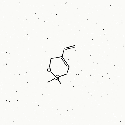 C=CC1=CC[Si](C)(C)OC1